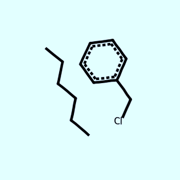 CCCCCC.ClCc1ccccc1